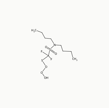 CCCCN(CCCC)S(=O)(=O)C(F)(F)SOOO